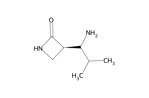 CC(C)C(N)[C@H]1CNC1=O